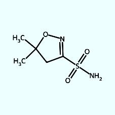 CC1(C)CC(S(N)(=O)=O)=NO1